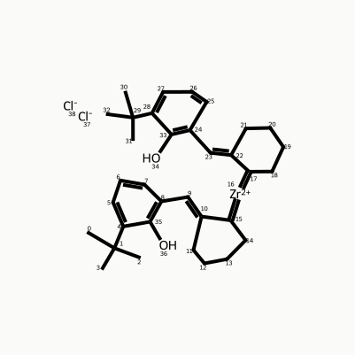 CC(C)(C)c1cccc(C=C2CCCC[C]2=[Zr+2]=[C]2CCCCC2=Cc2cccc(C(C)(C)C)c2O)c1O.[Cl-].[Cl-]